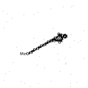 COCCOCCOCCOCCOCCOCCOCCOCCOCCOC(=O)C(C)(Cl)CC(CC(C)(C)C(=O)OCCO)c1ccccc1